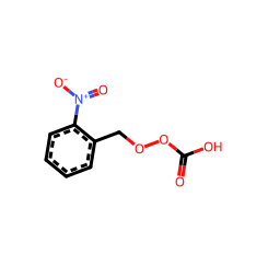 O=C(O)OOCc1ccccc1[N+](=O)[O-]